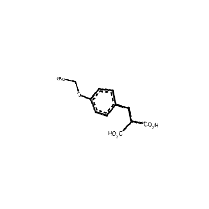 CC(C)(C)COc1ccc(CC(C(=O)O)C(=O)O)cc1